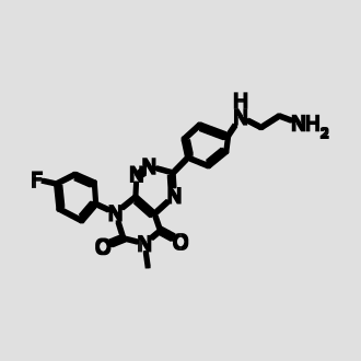 Cn1c(=O)c2nc(-c3ccc(NCCN)cc3)nnc2n(-c2ccc(F)cc2)c1=O